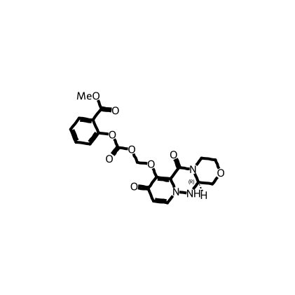 COC(=O)c1ccccc1OC(=O)OCOc1c2n(ccc1=O)N[C@@H]1COCCN1C2=O